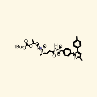 Cc1ccc(-c2cc(C)nn2-c2ccc(S(=O)(=O)NC(=O)CCN(C)/[N+]([O-])=N/OC(C)OC(=O)OC(C)(C)C)cc2)cc1